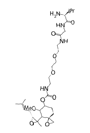 COC1C(OC(=O)NCCOCCOCCNC(=O)CNC(=O)[C@@H](N)C(C)C)CC[C@]2(CO2)C1C1(C)O[C@@H]1CC=C(C)C